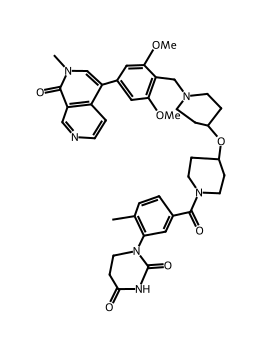 COc1cc(-c2cn(C)c(=O)c3cnccc23)cc(OC)c1CN1CCC(OC2CCN(C(=O)c3ccc(C)c(N4CCC(=O)NC4=O)c3)CC2)CC1